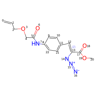 C=CCOCC(=O)Nc1ccc(/C=C(\N=[N+]=[N-])C(=O)OC)cc1